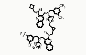 CCN(CC1CCC1)c1nc2ccccc2cc1CN(Cc1cc(C(F)(F)F)cc(C(F)(F)F)c1)c1nnn(CC2CC2CN(CC)c2nc3ccccc3cc2CN(Cc2cc(C(F)(F)F)cc(C(F)(F)F)c2)c2nnn(C)n2)n1